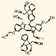 C#CCOc1ccc2c(c1)c1c(-c3ccc4c(c3)C(CC#C)(CC#C)c3ccccc3-4)c3c(c(-c4ccc5c(c4)C(CC#C)(CC#C)c4ccccc4-5)c1n2CC#C)c1cc(OCC#C)ccc1n3CC#C